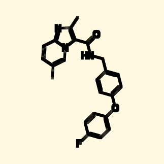 Cc1ccc2nc(C)c(C(=O)NCc3ccc(Oc4ccc(F)cc4)cc3)n2c1